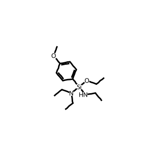 CCN[Si](OCC)(c1ccc(OC)cc1)N(CC)CC